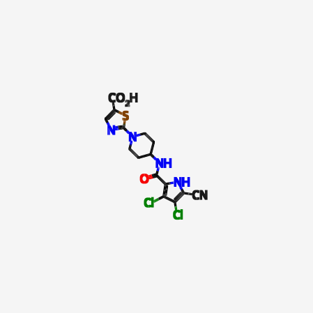 N#Cc1[nH]c(C(=O)NC2CCN(c3ncc(C(=O)O)s3)CC2)c(Cl)c1Cl